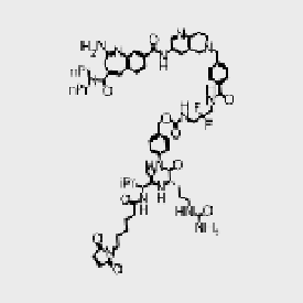 CCCN(CCC)C(=O)C1=Cc2ccc(C(=O)Nc3cnc4c(c3)CN(Cc3ccc(C(=O)NCC(F)(F)CNC(=O)OCc5ccc(NC(=O)[C@H](CCCNC(N)=O)NC(=O)C(NC(=O)CCCCCN6C(=O)C=CC6=O)C(C)C)cc5)cc3)CC4)cc2N=C(N)C1